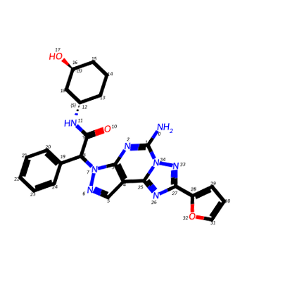 Nc1nc2c(cnn2C(C(=O)N[C@H]2CCC[C@H](O)C2)c2ccccc2)c2nc(-c3ccco3)nn12